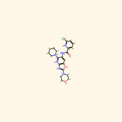 O=C(Nc1cc2oc(N3CCOCC3)nc2nc1N1CCCCC1)c1cccc(Cl)n1